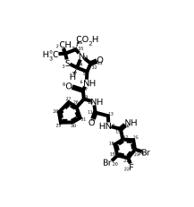 CC1(C)S[C@@H]2C(NC(=O)C(NC(=O)CNC(=N)c3cc(Br)c(F)c(Br)c3)c3ccccc3)C(=O)N2[C@H]1C(=O)O